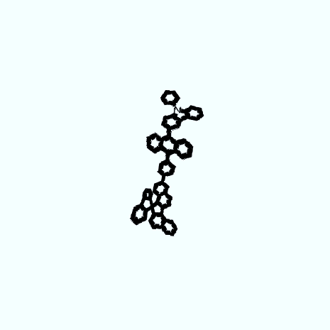 c1ccc(-n2c3ccccc3c3cc(-c4c5ccccc5c(-c5ccc(-c6ccc7c8c(ccc7c6)-c6c(ccc7ccccc67)C86c7ccccc7-c7ccccc76)cc5)c5ccccc45)ccc32)cc1